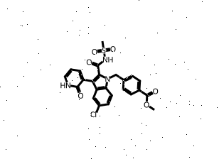 COC(=O)c1ccc(Cn2c(C(=O)NS(C)(=O)=O)c(-c3ccc[nH]c3=O)c3cc(Cl)ccc32)cc1